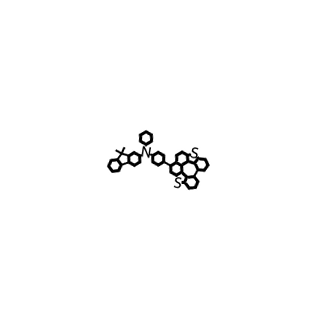 CC1(C)c2ccccc2-c2ccc(N(c3ccccc3)c3ccc(-c4cc5sc6cccc7c6c5c5c4ccc4sc6cccc-7c6c45)cc3)cc21